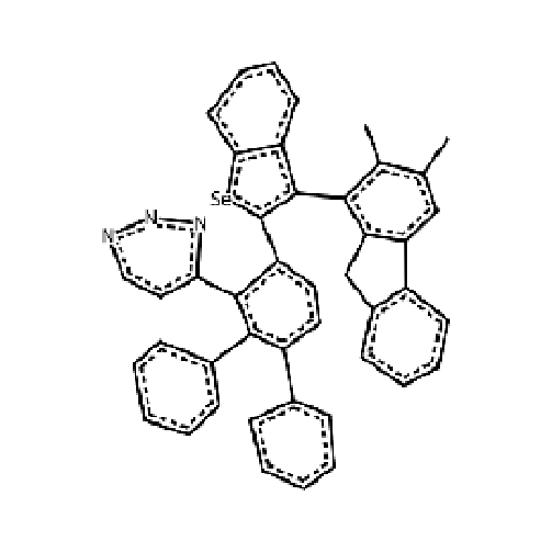 Cc1cc2c(c(-c3c(-c4ccc(-c5ccccc5)c(-c5ccccc5)c4-c4ccnnn4)[se]c4ccccc34)c1C)Cc1ccccc1-2